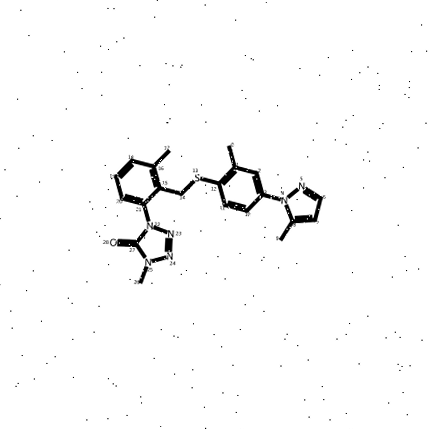 Cc1cc(-n2nccc2C)ccc1SCc1c(C)cccc1-n1nnn(C)c1=O